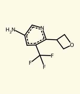 Nc1cnc(C2COC2)c(C(F)(F)F)c1